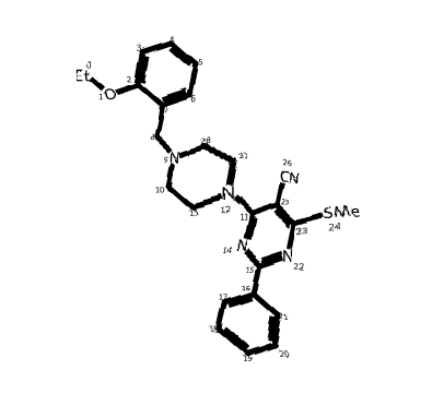 CCOc1ccccc1CN1CCN(c2nc(-c3ccccc3)nc(SC)c2C#N)CC1